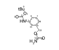 CC(C)(C)OC(=O)Nc1cccc(COC(N)=O)c1